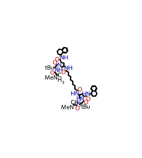 CN[C@@H](C)C(=O)N[C@H](C(=O)N1C[C@@H](NC(=O)CCCCCCCCC(=O)N[C@H]2C[C@@H](C(=O)N[C@@H]3CCCc4ccccc43)N(C(=O)[C@@H](NC(=O)[C@H](C)NC)C(C)(C)C)C2)CC1C(=O)N[C@@H]1CCCc2ccccc21)C(C)(C)C